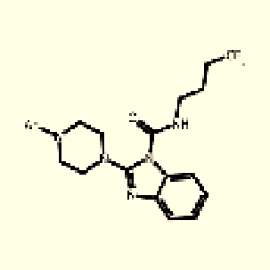 CC(=O)N1CCN(c2nc3ccccc3n2C(=O)NCCCC(F)(F)F)CC1